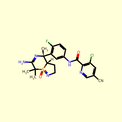 CC1(C)C(N)=N[C@](C)(c2cc(NC(=O)c3ncc(C#N)cc3Cl)ccc2F)[C@@H]2CCN=S21=O